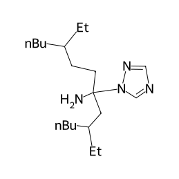 CCCCC(CC)CCC(N)(CC(CC)CCCC)n1cncn1